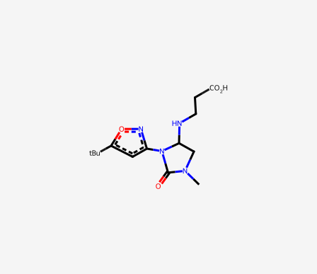 CN1CC(NCCC(=O)O)N(c2cc(C(C)(C)C)on2)C1=O